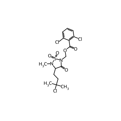 CN1C(CCC(C)(C)Cl)C(=O)N(COC(=O)c2c(Cl)cccc2Cl)S1(=O)=O